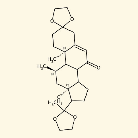 C[C@@H]1C[C@@]2(C)C(CCC2C2(C)OCCO2)C2C(=O)C=C3CC4(CC[C@]3(C)C21)OCCO4